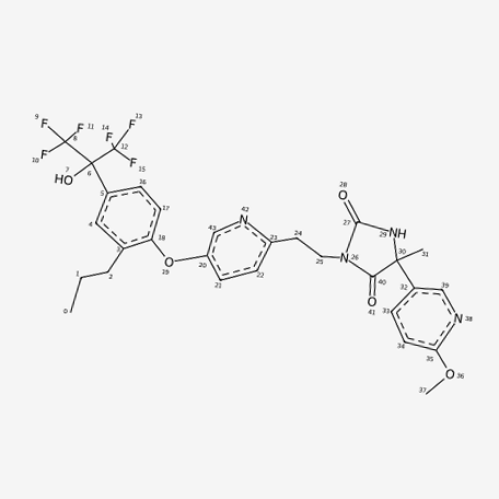 CCCc1cc(C(O)(C(F)(F)F)C(F)(F)F)ccc1Oc1ccc(CCN2C(=O)NC(C)(c3ccc(OC)nc3)C2=O)nc1